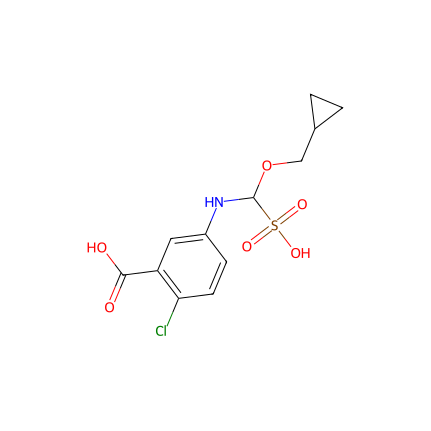 O=C(O)c1cc(NC(OCC2CC2)S(=O)(=O)O)ccc1Cl